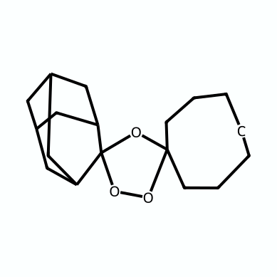 C1CCCC2(CCC1)OOC1(O2)C2CC3CC(C2)CC1C3